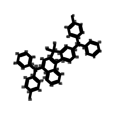 Cc1ccc(N(c2ccccc2)c2ccc3c(c2)C(C)(C)c2cc(N(c4ccccc4)c4ccc(C)cc4)c4ccccc4c2-3)cc1